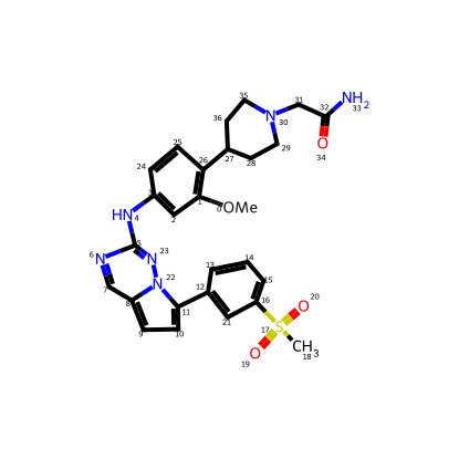 COc1cc(Nc2ncc3ccc(-c4cccc(S(C)(=O)=O)c4)n3n2)ccc1C1CCN(CC(N)=O)CC1